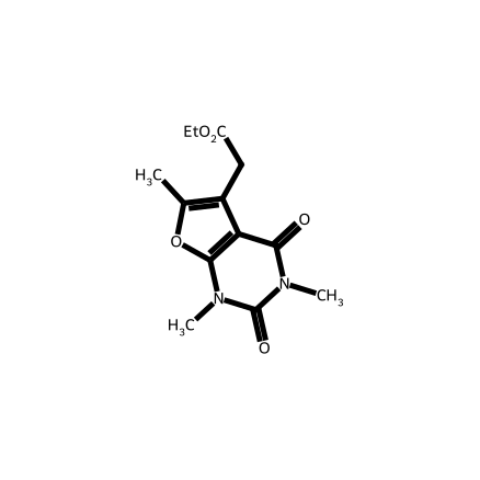 CCOC(=O)Cc1c(C)oc2c1c(=O)n(C)c(=O)n2C